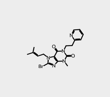 CC(C)=CCn1c(Br)nc2c1c(=O)n(CCc1ccccn1)c(=O)n2C